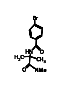 CNC(=O)C(C)(C)NC(=O)c1ccc(Br)cc1